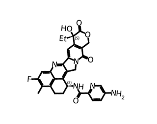 CC[C@@]1(O)C(=O)OCc2c1cc1n(c2=O)Cc2c-1nc1cc(F)c(C)c3c1c2[C@@H](NC(=O)c1ccc(N)cn1)CC3